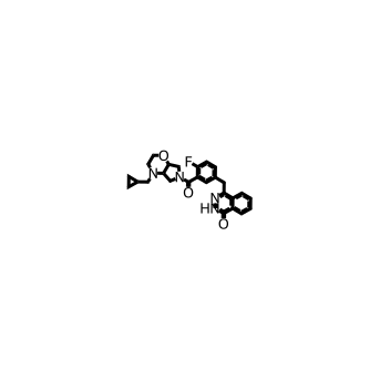 O=C(c1cc(Cc2n[nH]c(=O)c3ccccc23)ccc1F)N1CC2OCCN(CC3CC3)C2C1